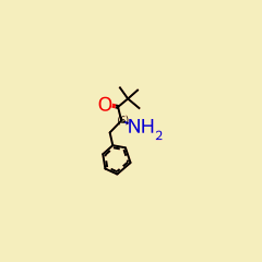 CC(C)(C)C(=O)[C@@H](N)Cc1ccccc1